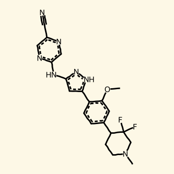 COc1cc(C2CCN(C)CC2(F)F)ccc1-c1cc(Nc2cnc(C#N)cn2)n[nH]1